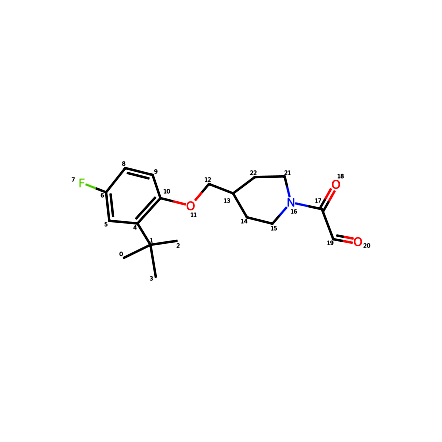 CC(C)(C)c1cc(F)ccc1OCC1CCN(C(=O)C=O)CC1